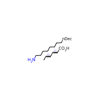 C/C=C/C=C/C(=O)O.CCCCCCCCCCCCCCCCCCN